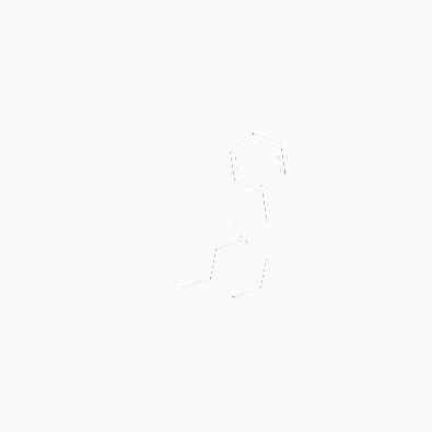 C[N+]1(Cc2ccccc2)CCCC(CO)C1